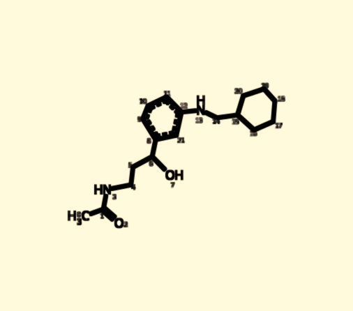 CC(=O)NCCC(O)c1cccc(NCC2CCCCC2)c1